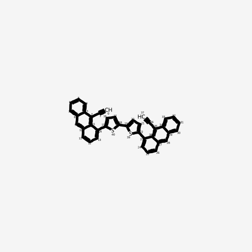 C#Cc1c2ccccc2cc2cccc(-c3ccc(-c4ccc(-c5cccc6cc7ccccc7c(C#C)c56)s4)s3)c12